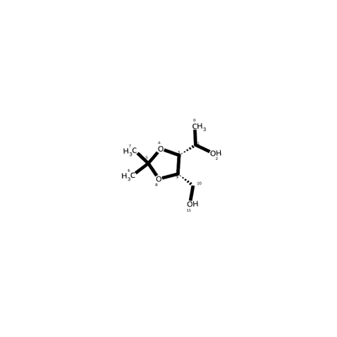 CC(O)[C@H]1OC(C)(C)O[C@H]1CO